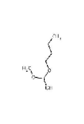 CCCCOB(O)OC